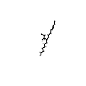 [CH2]CC=CCCCCC(CCCCCC[CH2])C(C)CC